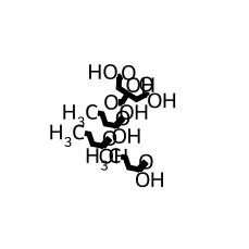 CCCC(=O)O.CCCC(=O)O.CCCC(=O)O.O=C(O)CC(O)(CC(=O)O)C(=O)O